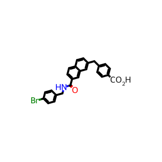 O=C(O)c1ccc(Cc2ccc3ccc(C(=O)NCc4ccc(Br)cc4)cc3c2)cc1